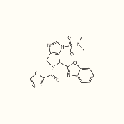 CN(C)S(=O)(=O)n1cnc2c1C(c1nc3ccccc3o1)N(C(=O)c1cnco1)C2